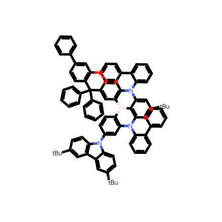 CC(C)(C)c1cc2c3c(c1)N(c1ccccc1-c1ccccc1)c1cc4c(cc1B3c1ccc(-n3c5ccc(C(C)(C)C)cc5c5cc(C(C)(C)C)ccc53)cc1N2c1ccccc1-c1ccccc1)C(c1ccccc1)(c1ccccc1)c1ccc(-c2ccccc2)cc1O4